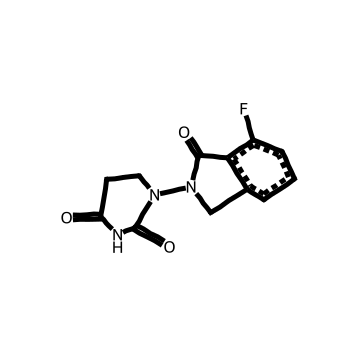 O=C1CCN(N2Cc3cccc(F)c3C2=O)C(=O)N1